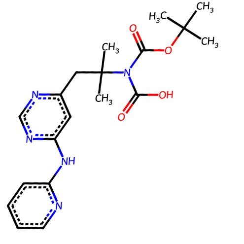 CC(C)(C)OC(=O)N(C(=O)O)C(C)(C)Cc1cc(Nc2ccccn2)ncn1